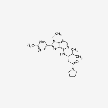 CCn1c(-c2cnc(C)nc2)nc2c(N[C@@H](CC(=O)N3CCCC3)C(C)C)ncnc21